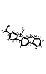 CC(C)c1ccc2c3ccc4c5ccccc5sc4c3n(C)c2c1